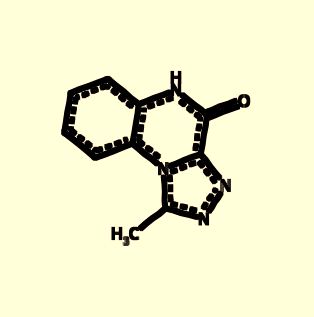 Cc1nnc2c(=O)[nH]c3ccccc3n12